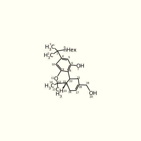 CCCCCCC(C)(C)c1cc(O)c2c(c1)OC(C)(C)[C@H]1CC=C(CO)CC21